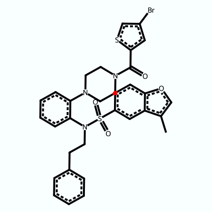 Cc1coc2ccc(S(=O)(=O)N(CCc3ccccc3)c3ccccc3N3CCN(C(=O)c4cc(Br)cs4)CC3)cc12